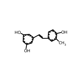 Cc1cc(/C=C/c2cc(O)cc(O)c2)ccc1O